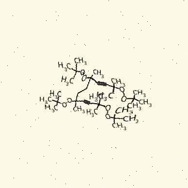 CC(C)(C)OOC(C)(C)C#CC(C)(CCC(C)(C#CC(C)(C)OOC(C)(C)C)OOC(C)(C)C)OOC(C)(C)C